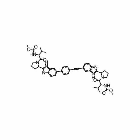 COC(=O)NC(C(=O)N1CCCC1c1nc2ccc(C#Cc3ccc(-c4ccc5nc(C6CCCN6C(=O)C(NC(=O)OC)C(C)C)[nH]c5c4)cc3)cc2[nH]1)C(C)C